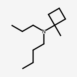 CCCCN(CCC)C1(C)CCC1